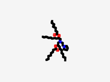 CCCCCCCCC(CN(CCN1CCCC1)CC(CCCCCCCC)OC(=O)CCCCCCC)OC(=O)CCCCCCC